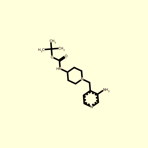 CC(C)(C)OC(=O)NC1CCN(Cc2ccncc2N)CC1